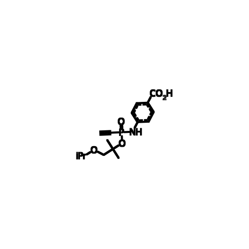 C#CP(=O)(Nc1ccc(C(=O)O)cc1)OC(C)(C)COC(C)C